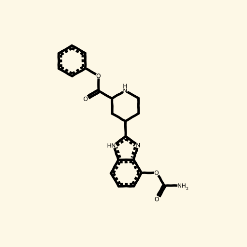 NC(=O)Oc1cccc2[nH]c(C3CCNC(C(=O)Oc4ccccc4)C3)nc12